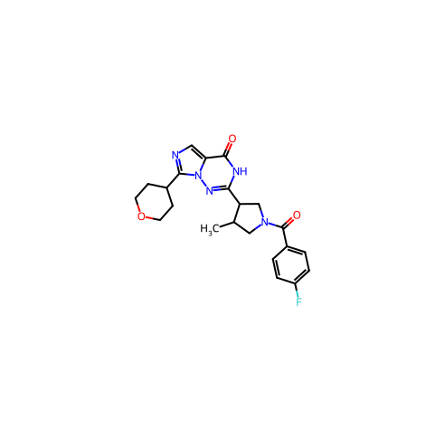 CC1CN(C(=O)c2ccc(F)cc2)CC1c1nn2c(C3CCOCC3)ncc2c(=O)[nH]1